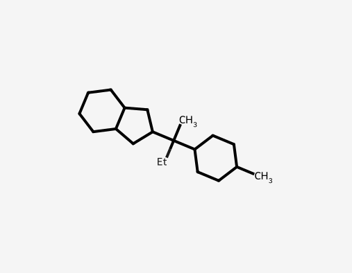 CCC(C)(C1CCC(C)CC1)C1CC2CCCCC2C1